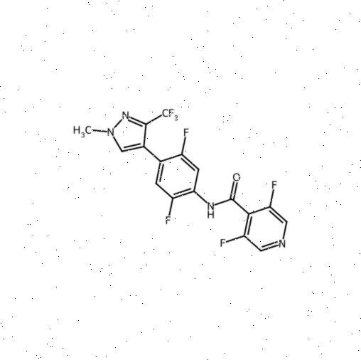 Cn1cc(-c2cc(F)c(NC(=O)c3c(F)cncc3F)cc2F)c(C(F)(F)F)n1